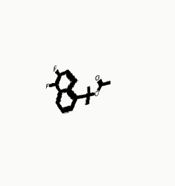 CC(=O)OC(C)(C)c1cccc2c(F)c(F)ccc12